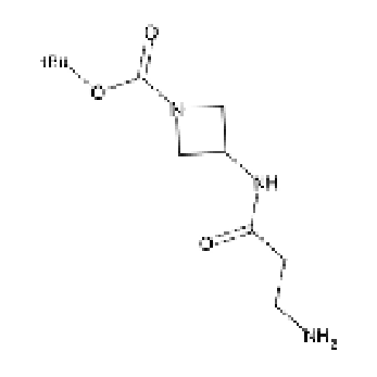 CC(C)(C)OC(=O)N1CC(NC(=O)CCN)C1